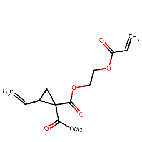 C=CC(=O)OCCOC(=O)C1(C(=O)OC)CC1C=C